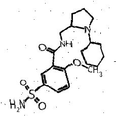 COc1ccc(S(N)(=O)=O)cc1C(=O)NCC1CCCN1C1CCCCC1